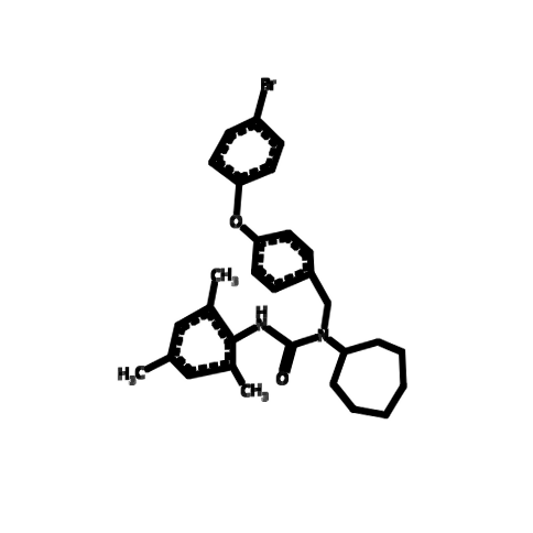 Cc1cc(C)c(NC(=O)N(Cc2ccc(Oc3ccc(Br)cc3)cc2)C2CCCCCC2)c(C)c1